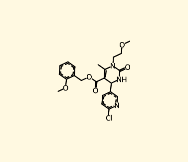 COCCN1C(=O)NC(c2ccc(Cl)nc2)C(C(=O)OCc2ccccc2OC)=C1C